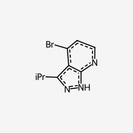 CC(C)c1n[nH]c2nccc(Br)c12